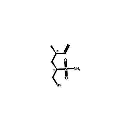 C=C[C@H](C)C[C@H](CC(C)C)S(N)(=O)=O